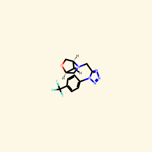 C[C@H]1[C@H]2CO[C@@H]1CN2Cc1nnnn1-c1ccc(C(F)(F)F)cc1